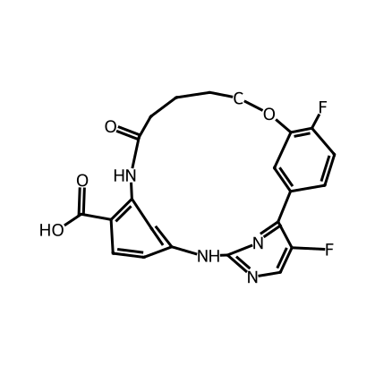 O=C1CCCCOc2cc(ccc2F)-c2nc(ncc2F)Nc2ccc(C(=O)O)c(c2)N1